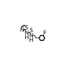 Fc1cccc(CCNC(=S)Nc2nccs2)c1